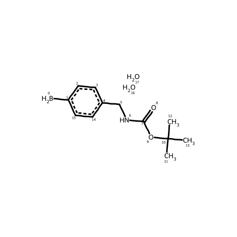 Bc1ccc(CNC(=O)OC(C)(C)C)cc1.O.O